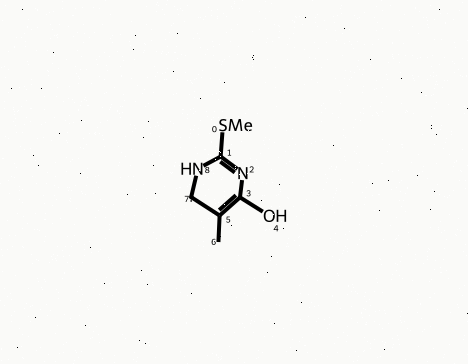 CSC1=NC(O)=C(C)[CH]N1